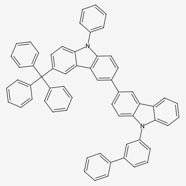 c1ccc(-c2cccc(-n3c4ccccc4c4cc(-c5ccc6c(c5)c5cc(C(c7ccccc7)(c7ccccc7)c7ccccc7)ccc5n6-c5ccccc5)ccc43)c2)cc1